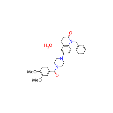 COc1ccc(C(=O)N2CCN(c3ccc4c(c3)CCC(=O)N4Cc3ccccc3)CC2)cc1OC.O